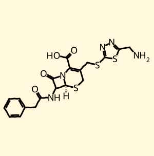 NCc1nnc(SCC2=C(C(=O)O)N3C(=O)C(NC(=O)Cc4ccccc4)[C@@H]3SC2)s1